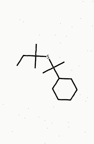 CCC(C)(C)SC(C)(C)C1CCCCC1